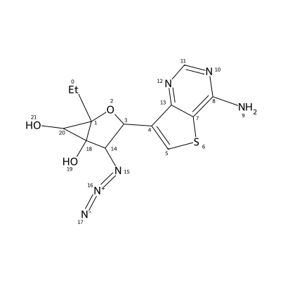 CCC12OC(c3csc4c(N)ncnc34)C(N=[N+]=[N-])C1(O)C2O